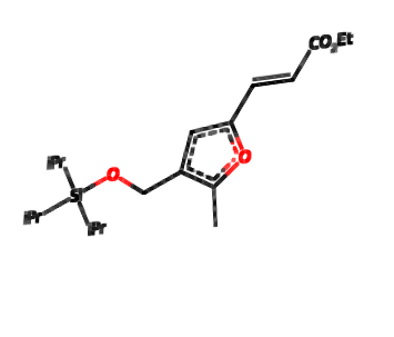 CCOC(=O)C=Cc1cc(CO[Si](C(C)C)(C(C)C)C(C)C)c(C)o1